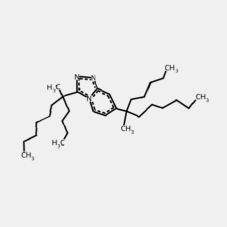 CCCCCCC(C)(CCCCC)c1ccn2c(C(C)(CCCC)CCCCCC)nnc2c1